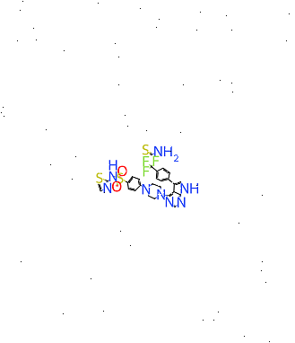 NC=S.O=S(=O)(Nc1nccs1)c1ccc(N2CCN(c3ncnc4[nH]cc(-c5ccc(C(F)(F)F)cc5)c34)CC2)cc1